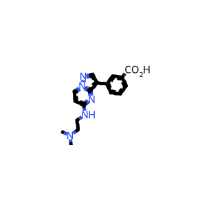 CN(C)CCNc1ccn2ncc(-c3cccc(C(=O)O)c3)c2n1